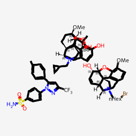 CCCCCCBr.CO[C@]12CC[C@@]3(C[C@@H]1[C@](C)(O)C(C)(C)C)[C@H]1Cc4ccc(O)c5c4[C@@]3(CCN1CC1CC1)[C@H]2O5.COc1ccc2c3c1O[C@H]1[C@@H](O)C=C[C@H]4[C@@H](C2)N(C)CC[C@@]341.Cc1ccc(-c2cc(C(F)(F)F)nn2-c2ccc(S(N)(=O)=O)cc2)cc1